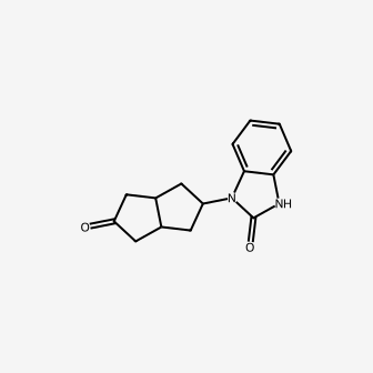 O=C1CC2CC(n3c(=O)[nH]c4ccccc43)CC2C1